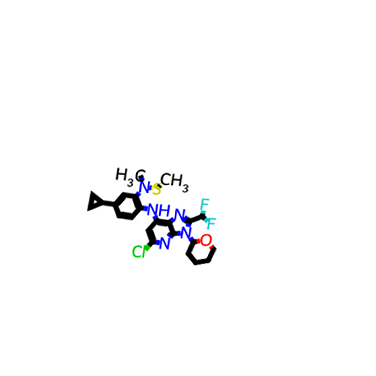 CSN(C)c1cc(C2CC2)ccc1Nc1cc(Cl)nc2c1nc(C(F)F)n2C1CCCCO1